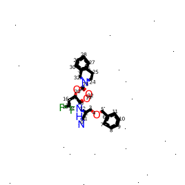 N#CC(COCc1ccccc1)NC(=O)C(CC(F)F)OC(=O)N1CCc2ccccc2C1